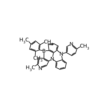 Cc1cc(C)c(B2c3cc(C)ncc3N3c4ccccc4N(c4ccc(C)nc4)c4cccc2c43)c(C)c1